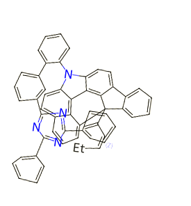 C=C(/C=C\CC)C12c3ccccc3-c3ccc4c(c31)c1c3c2cccc3ccc1n4-c1ccccc1-c1cccc(-c2nc(-c3ccccc3)nc(-c3ccccc3)n2)c1